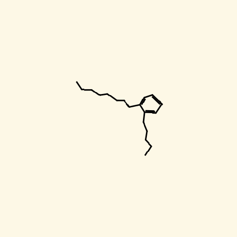 CCCCCCCCc1ccccc1CCCCC